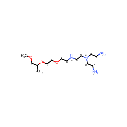 COCC(C)OCCOCCNCCN(CCN)CCN